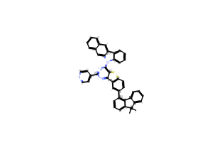 CC1(C)c2ccccc2-c2c(-c3ccc4sc5c(-n6c7ccccc7c7cc8ccccc8cc76)nc(-c6ccncc6)nc5c4c3)cccc21